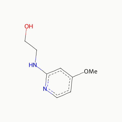 COc1ccnc(NCCO)c1